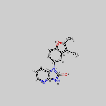 Cc1oc2ccc(-n3c(=O)[nH]c4ncccc43)cc2c1C